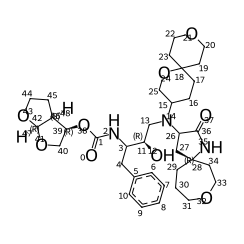 O=C(NC(Cc1ccccc1)[C@H](O)CN(C1CCC2(CCOCC2)OC1)C1C[C@@]2(CCCOCC2)NC1=O)O[C@H]1CO[C@H]2OCC[C@H]21